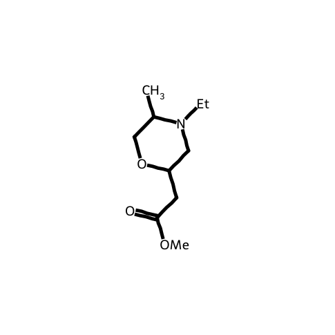 CCN1CC(CC(=O)OC)OCC1C